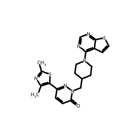 Cc1nc(C)c(-c2ccc(=O)n(CC3CCN(c4ncnc5sccc45)CC3)n2)s1